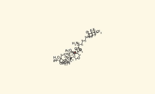 CC(=O)O[C@@H]1C[C@@]23COC[C@](C)([C@@H]2CC[C@H]2C3=CC[C@@]3(C)[C@H](C(=O)O)[C@@](C)([C@H](C)C(C)C)CC[C@]23C)[C@H]1OC(=O)C(N)CCCCNC(=O)C(F)(F)C(F)(F)C(F)(F)F